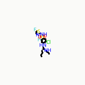 CCCC[C@@H](CNc1cc(F)c(S(=O)(=O)Nc2ncc(F)s2)cc1Cl)NCCC